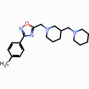 Cc1ccc(-c2noc(CN3CCCC(CN4CCCCC4)C3)n2)cc1